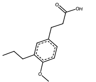 CCCc1cc(CCC(=O)O)ccc1OC